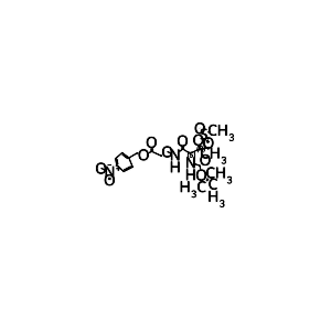 C[C@@H](OS(C)(=O)=O)[C@H](NC(=O)OC(C)(C)C)C(=O)NOCC(=O)OCc1ccc([N+](=O)[O-])cc1